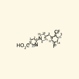 O=C(O)c1ccc(N2CCC(=Cc3cc(F)ccc3C(F)(F)F)CC2)nc1